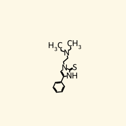 CCN(CC)CCn1cc(-c2ccccc2)[nH]c1=S